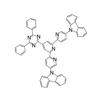 c1ccc(-c2nc(-c3ccccc3)nc(-c3cc(-c4ccc(-n5c6ccccc6c6ccccc65)cn4)nc(-c4ccc(-n5c6ccccc6c6ccccc65)cn4)c3)n2)cc1